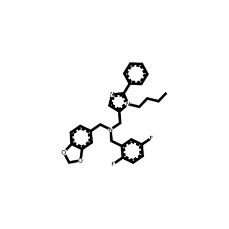 CCCCn1c(CN(Cc2ccc3c(c2)OCO3)Cc2cc(F)ccc2F)cnc1-c1ccccc1